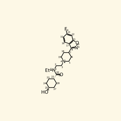 CCN(CCN1CCC(c2noc3cc(F)ccc23)CC1)C(=O)[C@H]1CC[C@H](O)CC1